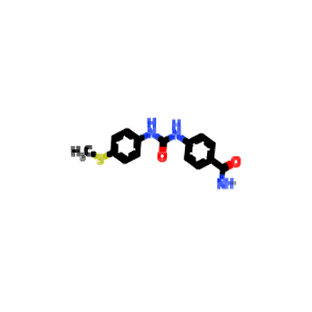 CSc1ccc(NC(=O)Nc2ccc(C([NH])=O)cc2)cc1